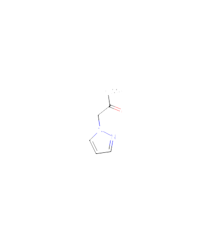 COC(=O)CN1C=CC=[N+]1